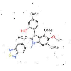 CCCOc1c(OC)cc2c(c1OC)c(-c1ccc(OC)cc1O)c(C(=O)O)n2Cc1ccc2nsnc2c1